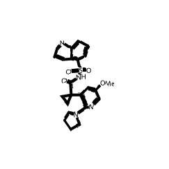 COc1cnc(N2CCCC2)c(C2(C(=O)NS(=O)(=O)c3cccc4ncccc34)CC2)c1